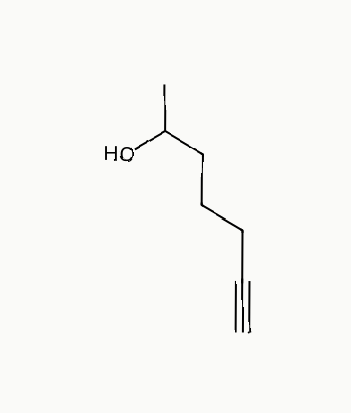 [C]#CCCCC(C)O